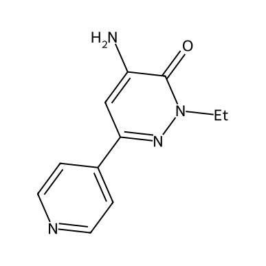 CCn1nc(-c2ccncc2)cc(N)c1=O